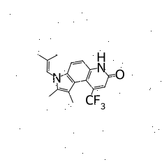 CC(C)=Cn1c(C)c(C)c2c3c(C(F)(F)F)cc(=O)[nH]c3ccc21